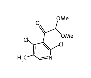 COC(OC)C(=O)c1c(Cl)ncc(C)c1Cl